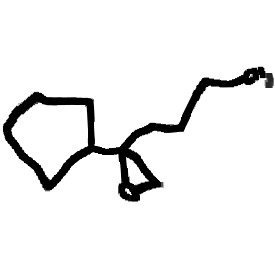 CCCCC1(C2CCCCC2)[CH]O1